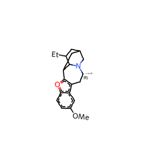 CCC1CC2CC3c4oc5ccc(OC)cc5c4C[C@@H](C)N(C2)C13